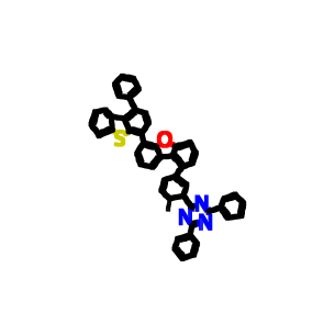 C[C@H]1C=CC(c2cccc3oc4c(-c5ccc(-c6ccccc6)c6c5sc5ccccc56)cccc4c23)=CC1c1nc(-c2ccccc2)nc(-c2ccccc2)n1